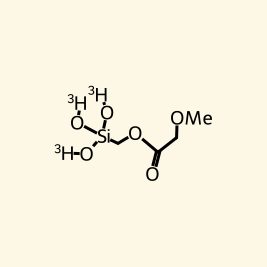 [3H]O[Si](COC(=O)COC)(O[3H])O[3H]